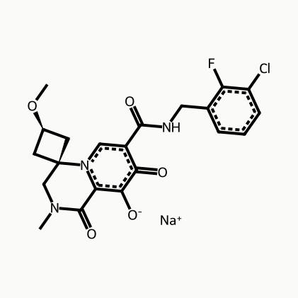 CO[C@H]1C[C@@]2(CN(C)C(=O)c3c([O-])c(=O)c(C(=O)NCc4cccc(Cl)c4F)cn32)C1.[Na+]